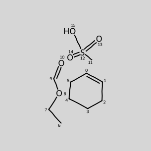 C1=CCCCC1.CCOC=O.CS(=O)(=O)O